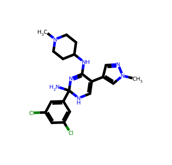 CN1CCC(NC2=NC(N)(c3cc(Cl)cc(Cl)c3)NC=C2c2cnn(C)c2)CC1